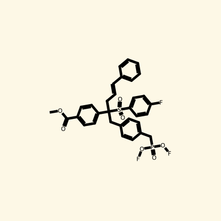 COC(=O)c1ccc(C(CC=Cc2ccccc2)(Cc2ccc(CP(=O)(OF)OF)cc2)S(=O)(=O)c2ccc(F)cc2)cc1